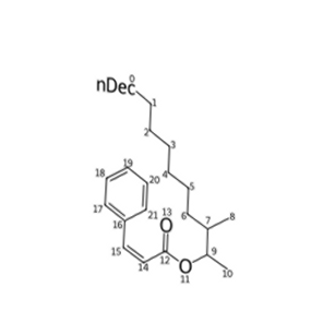 CCCCCCCCCCCCCCCCC(C)C(C)OC(=O)/C=C\c1ccccc1